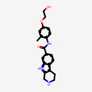 Cc1cc(OCCO)ccc1NC(=O)c1ccc2c3c([nH]c2c1)CNCC3